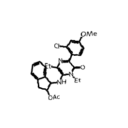 CCc1nc(-c2ccc(OC)cc2Cl)c(=O)n(CC)c1NC1c2ccccc2CC1OC(C)=O